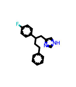 Fc1ccc(C(CCc2ccccc2)Cc2c[nH]cn2)cc1